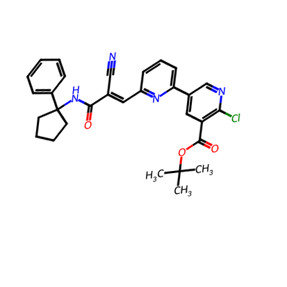 CC(C)(C)OC(=O)c1cc(-c2cccc(/C=C(\C#N)C(=O)NC3(c4ccccc4)CCCC3)n2)cnc1Cl